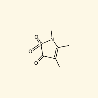 CC1=C(C)N(C)S(=O)(=O)C1=O